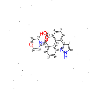 O=C(O)c1cccc(-c2cc[nH]n2)c1-c1ccccc1C(=O)N1CCOCC1